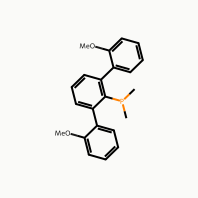 COc1ccccc1-c1cccc(-c2ccccc2OC)c1P(C)C